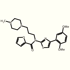 COc1ccc(OC)c(-c2csc(N(CCCN3CCN(C)CC3)C(=O)c3ccco3)n2)c1